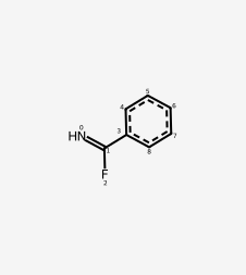 N=C(F)c1ccccc1